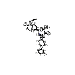 C#CCN1C(=O)CCc2cc(C/C=C/N3CCN(c4cccc(C)c4)CC3)ccc21.O=C(O)C(=O)O